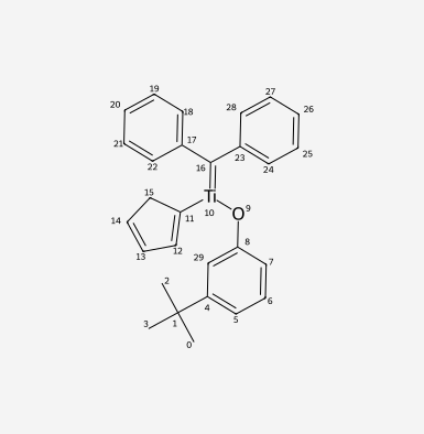 CC(C)(C)c1cccc([O][Ti]([C]2=CC=CC2)=[C](c2ccccc2)c2ccccc2)c1